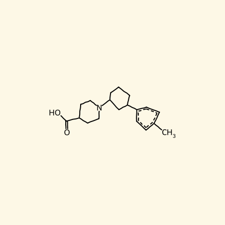 Cc1ccc(C2CCCC(N3CCC(C(=O)O)CC3)C2)cc1